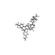 CN(C)CC1CCC(NC2=CC(N)(c3ccnc(-c4cnn(S(=O)(=O)C5CC5)c4)n3)NC=C2c2ccc(C(C)(C)F)cn2)CC1